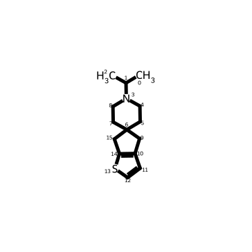 CC(C)N1CCC2(CC1)Cc1ccsc1C2